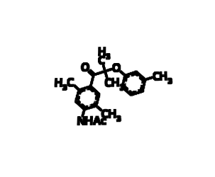 CC(=O)Nc1cc(C)c(C(=O)C(C)(C)Oc2cccc(C)c2)cc1C